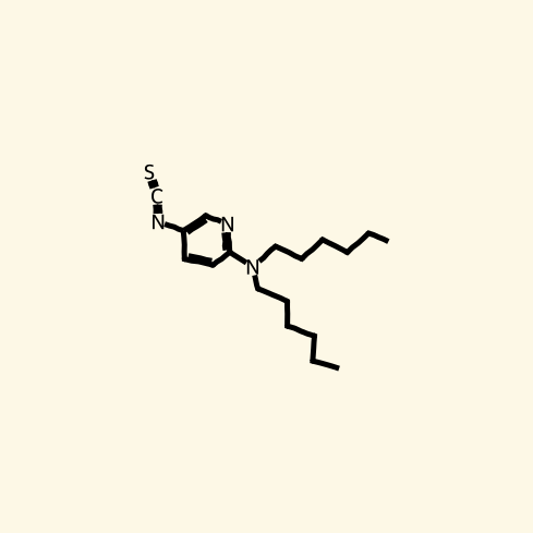 CCCCCCN(CCCCCC)c1ccc(N=C=S)cn1